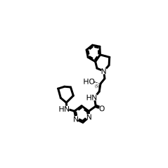 O=C(NC[C@H](O)CN1CCc2ccccc2C1)c1cc(NC2CCCCC2)ncn1